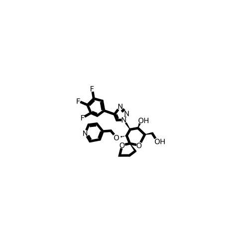 OC[C@H]1O[C@@]2(CCCO2)[C@H](OCc2ccncc2)[C@@H](n2cc(-c3cc(F)c(F)c(F)c3)nn2)[C@H]1O